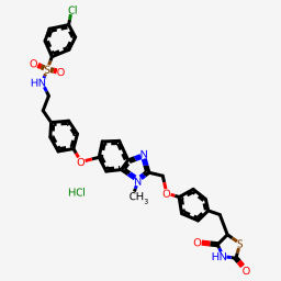 Cl.Cn1c(COc2ccc(CC3SC(=O)NC3=O)cc2)nc2ccc(Oc3ccc(CCNS(=O)(=O)c4ccc(Cl)cc4)cc3)cc21